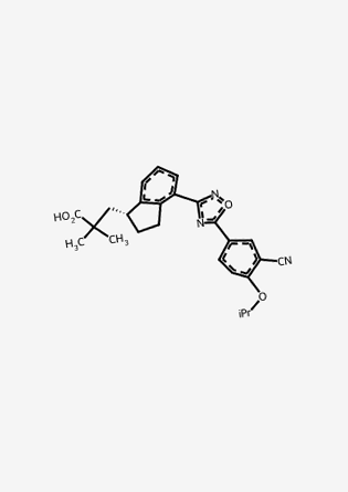 CC(C)Oc1ccc(-c2nc(-c3cccc4c3CC[C@@H]4CC(C)(C)C(=O)O)no2)cc1C#N